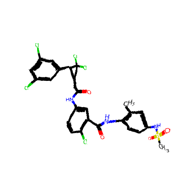 Cc1cc(NS(C)(=O)=O)ccc1NC(=O)c1cc(NC(=O)C2C(c3cc(Cl)cc(Cl)c3)C2(Cl)Cl)ccc1Cl